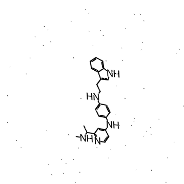 CNC(C)c1cc(Nc2ccc(NCCc3c[nH]c4ccccc34)cc2)ccn1